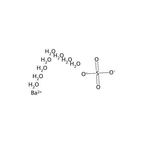 O.O.O.O.O.O.O.O.O=S(=O)([O-])[O-].[Ba+2]